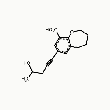 CC(O)CC#Cc1cc2c(c(C(=O)O)c1)OCCCC2